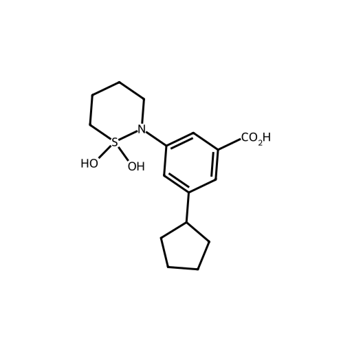 O=C(O)c1cc(C2CCCC2)cc(N2CCCCS2(O)O)c1